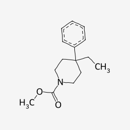 CCC1(c2ccccc2)CCN(C(=O)OC)CC1